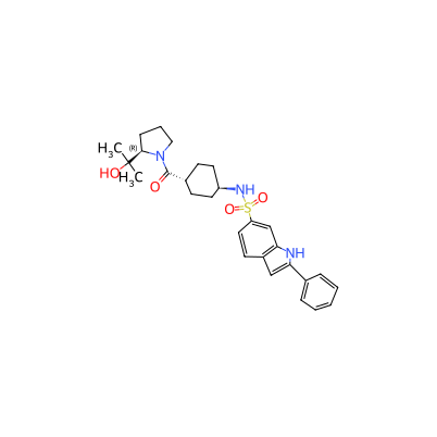 CC(C)(O)[C@H]1CCCN1C(=O)[C@H]1CC[C@H](NS(=O)(=O)c2ccc3cc(-c4ccccc4)[nH]c3c2)CC1